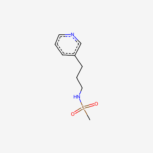 CS(=O)(=O)NCCCc1cccnc1